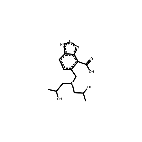 CC(O)CN(Cc1ccc2[nH]nnc2c1C(=O)O)CC(C)O